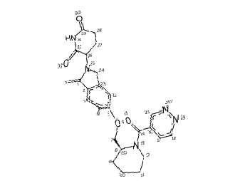 C=C1c2ccc(OC[C@@H]3CCCCN3C(=O)c3ccnnc3)cc2CN1C1CCC(=O)NC1=O